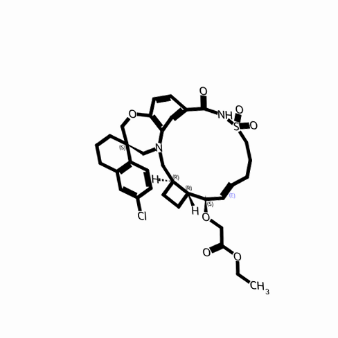 CCOC(=O)CO[C@@H]1/C=C/CCCS(=O)(=O)NC(=O)c2ccc3c(c2)N(C[C@@H]2CC[C@H]21)C[C@@]1(CCCc2cc(Cl)ccc21)CO3